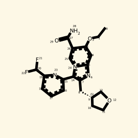 CCOc1cc2nc(C[C@H]3CCOC3)c(-c3cccc(C(F)F)n3)n2cc1C(N)=O